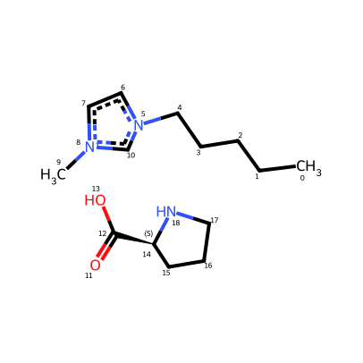 CCCCCn1cc[n+](C)c1.O=C(O)[C@@H]1CCCN1